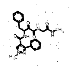 CNC(=O)CNC(=O)C(=O)C(Cc1ccccc1)NC(=O)c1cn(C)nc1-c1ccccc1